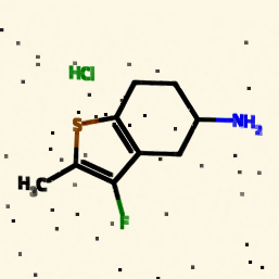 Cc1sc2c(c1F)CC(N)CC2.Cl